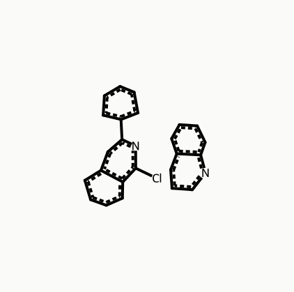 Clc1nc(-c2ccccc2)cc2ccccc12.c1ccc2ncccc2c1